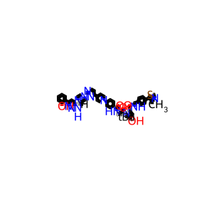 Cc1ncsc1-c1ccc(CNC(=O)[C@@H]2C[C@@H](O)CN2C(=O)[C@@H](NC(=O)[C@H]2CC[C@H](N3CCC(c4ccnc(N5CCN6c7cc(-c8ccccc8O)nnc7NC[C@@H]6C5)n4)CC3)CC2)C(C)(C)C)cc1